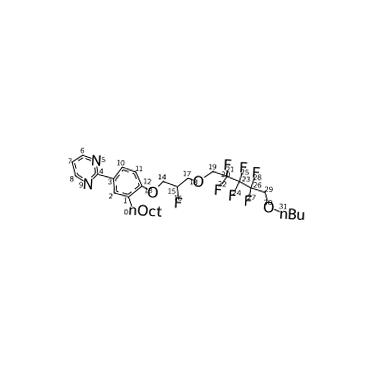 CCCCCCCCc1cc(-c2ncccn2)ccc1OCC(F)COCC(F)(F)C(F)(F)C(F)(F)COCCCC